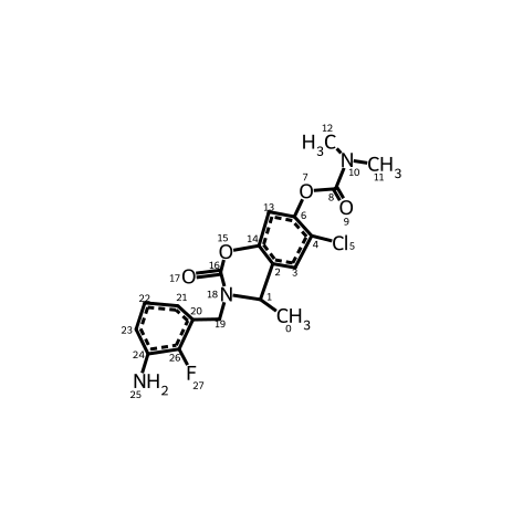 CC1c2cc(Cl)c(OC(=O)N(C)C)cc2OC(=O)N1Cc1cccc(N)c1F